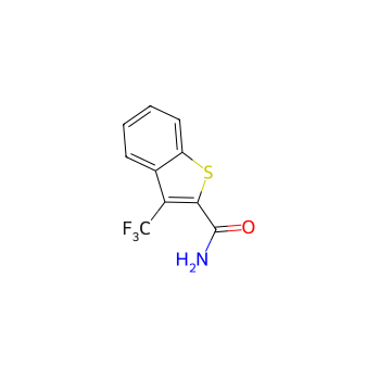 NC(=O)c1sc2ccccc2c1C(F)(F)F